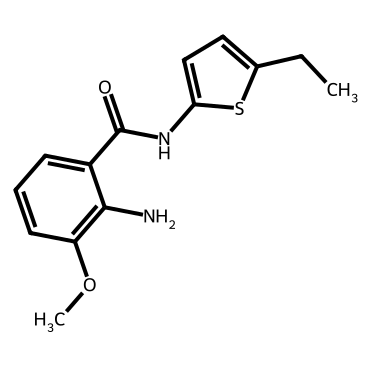 CCc1ccc(NC(=O)c2cccc(OC)c2N)s1